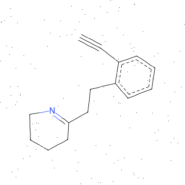 C#Cc1ccccc1CCC1=NCCCC1